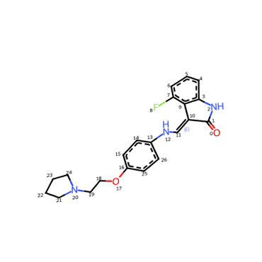 O=C1Nc2cccc(F)c2/C1=C\Nc1ccc(OCCN2CCCC2)cc1